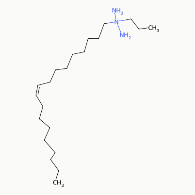 CCCCCCCC/C=C\CCCCCCCC[N+](N)(N)CCC